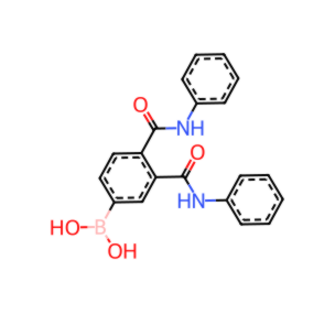 O=C(Nc1ccccc1)c1ccc(B(O)O)cc1C(=O)Nc1ccccc1